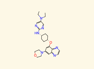 CCN(CC)c1cnc(N[C@H]2CC[C@@H](Oc3cc(N4CCOCC4)cc4nccnc34)CC2)nc1